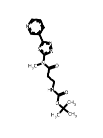 CN(C(=O)CCNC(=O)OC(C)(C)C)c1nnc(-c2cccnc2)s1